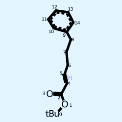 CC(C)(C)OC(=O)/C=C/CCCc1ccccc1